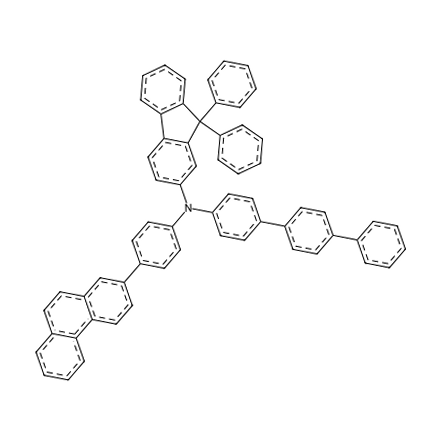 c1ccc(-c2ccc(-c3ccc(N(c4ccc(-c5ccc6c(ccc7ccccc76)c5)cc4)c4ccc5c(c4)C(c4ccccc4)(c4ccccc4)c4ccccc4-5)cc3)cc2)cc1